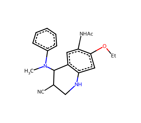 CCOc1cc2c(cc1NC(C)=O)C(N(C)c1ccccc1)C(C#N)CN2